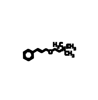 C[N+](C)(C)CCOCC=Cc1ccccc1